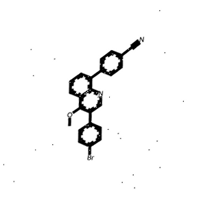 COc1c(-c2ccc(Br)cc2)cnc2c(-c3ccc(C#N)cc3)cccc12